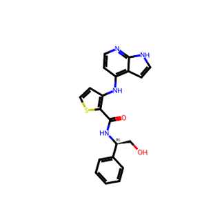 O=C(N[C@@H](CO)c1ccccc1)c1sccc1Nc1ccnc2[nH]ccc12